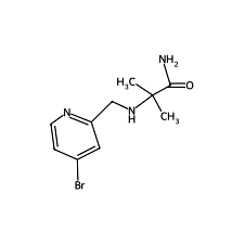 CC(C)(NCc1cc(Br)ccn1)C(N)=O